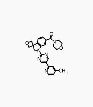 Cc1ccnc(-c2cnc(N3CC4(COC4)c4ccc(C(=O)N5CCOCC5)cc43)nc2)c1